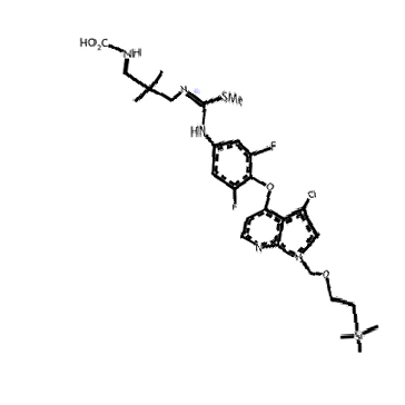 CS/C(=N/CC(C)(C)CNC(=O)O)Nc1cc(F)c(Oc2ccnc3c2c(Cl)cn3COCC[Si](C)(C)C)c(F)c1